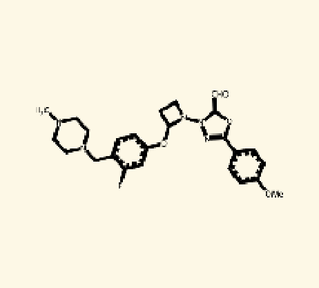 COc1ccc(C2=NN(N3CCC3Oc3ccc(CN4CCN(C)CC4)c(F)c3)C(C=O)O2)cc1